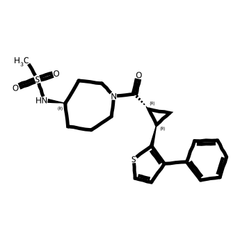 CS(=O)(=O)N[C@@H]1CCCN(C(=O)[C@@H]2C[C@H]2c2sccc2-c2ccccc2)CC1